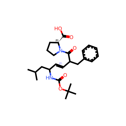 CC(C)CC(/C=C/C(Cc1ccccc1)C(=O)N1CCC[C@@H]1C(=O)O)NC(=O)OC(C)(C)C